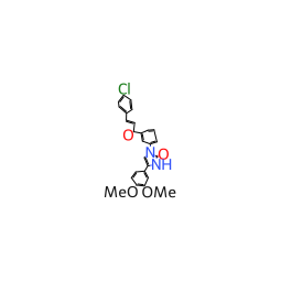 COc1ccc(-c2cn(-c3cccc(C(=O)/C=C/c4ccc(Cl)cc4)c3)c(=O)[nH]2)cc1OC